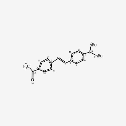 CCCCN(CCCC)c1ccc(/C=C/c2ccc(C(=O)C(F)(F)F)cc2)cc1